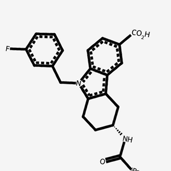 CC(C)C(=O)N[C@@H]1CCc2c(c3cc(C(=O)O)ccc3n2Cc2cccc(F)c2)C1